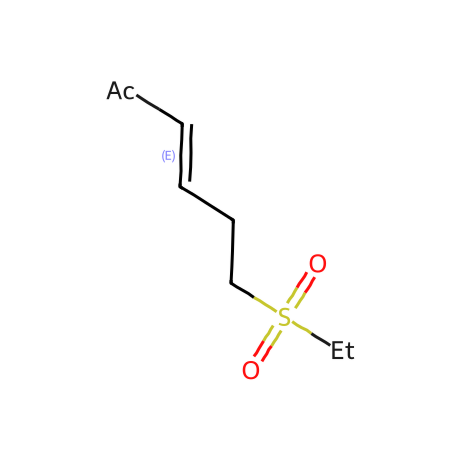 CCS(=O)(=O)CC/C=C/C(C)=O